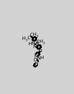 CC(C)c1cccc(Nc2nc3cc(Oc4ccnc(NC(=O)CN5CCCC5)c4)ccc3n2C)c1